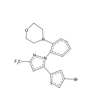 FC(F)(F)c1cc(-c2cc(Br)cs2)n(-c2ccccc2N2CCOCC2)n1